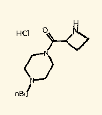 CCCCN1CCN(C(=O)C2CCN2)CC1.Cl